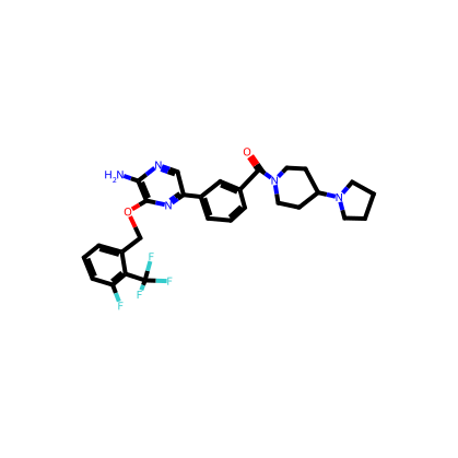 Nc1ncc(-c2cccc(C(=O)N3CCC(N4CCCC4)CC3)c2)nc1OCc1cccc(F)c1C(F)(F)F